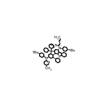 C/C=C/C=C(\N)N(c1ccc(C(C)(C)C)cc1)c1cc2c(c3sc4ccccc4c13)-c1c(-c3ccccc3)cc(N(c3ccc(C(C)(C)C)cc3)c3ccc(C)cn3)cc1C2(c1ccccc1)c1ccccc1